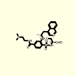 C[C@H](Cc1cncc2ccccc12)Oc1cc(C(=O)NCCN(C)C)ccc1S(=O)(=O)N[C@H](C=O)CC(=O)O